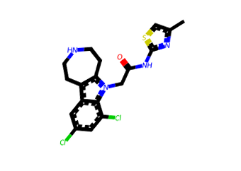 Cc1csc(NC(=O)Cn2c3c(c4cc(Cl)cc(Cl)c42)CCNCC3)n1